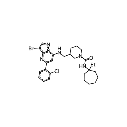 CCC1(NC(=O)N2CCCC(CNc3cc(-c4ccccc4Cl)nc4c(Br)cnn34)C2)CCCCCC1